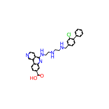 O=C(O)c1ccc2c(c1)nc(NCCNCCNCc1ccc(-c3ccccc3)c(Cl)c1)c1ccncc12